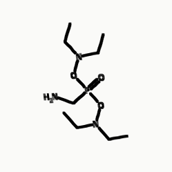 CCN(CC)OP(=O)(CN)ON(CC)CC